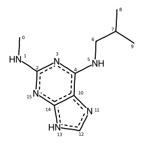 CNc1nc(NCC(C)C)c2nc[nH]c2n1